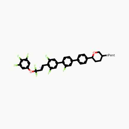 CCCCCC1CCC(c2ccc(-c3ccc(-c4cc(F)c(/C=C/C(F)(F)Oc5cc(F)c(F)c(F)c5)c(F)c4)c(F)c3)cc2)OC1